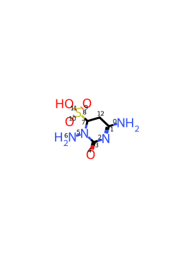 NC1=NC(=O)N(N)C(S(=O)(=O)O)C1